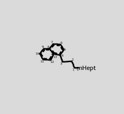 [CH2]CCCCCCCCCc1cccc2ccccc12